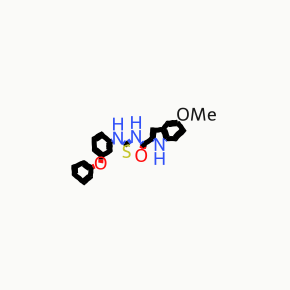 COc1ccc2[nH]c(C(=O)NC(=S)Nc3cccc(Oc4ccccc4)c3)cc2c1